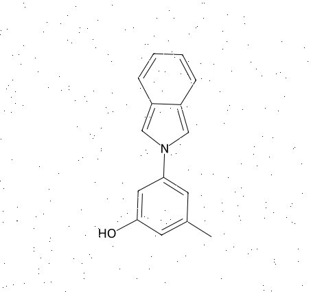 Cc1cc(O)cc(-n2cc3ccccc3c2)c1